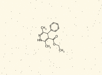 CCOC(=O)C1=C(C)NN=C(C)C1c1ccccc1